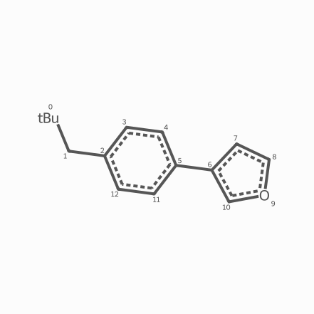 CC(C)(C)Cc1ccc(-c2ccoc2)cc1